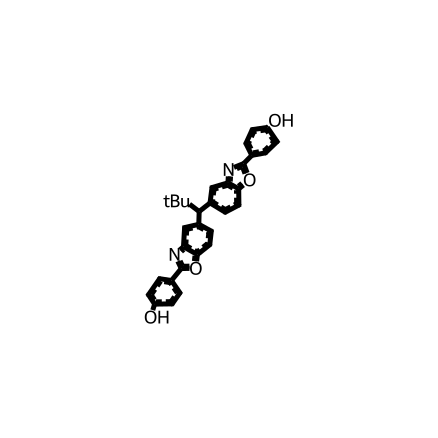 CC(C)(C)C(c1ccc2oc(-c3ccc(O)cc3)nc2c1)c1ccc2oc(-c3ccc(O)cc3)nc2c1